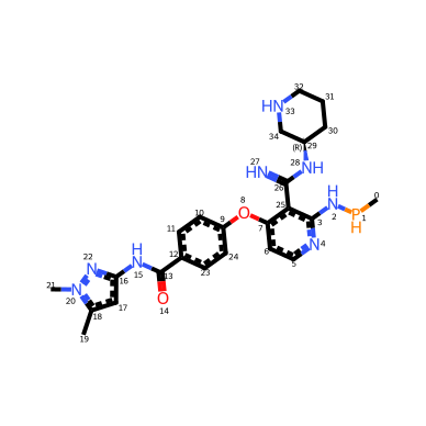 CPNc1nccc(Oc2ccc(C(=O)Nc3cc(C)n(C)n3)cc2)c1C(=N)N[C@@H]1CCCNC1